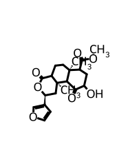 COC(=O)C1CC(O)C(=O)C2[C@@]1(C)CCC1C(=O)O[C@H](c3ccoc3)C[C@@]12C